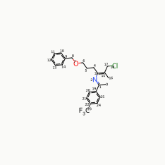 C/C(=N\C(CCCOCc1ccccc1)=C(/C)CCl)c1ccc(C(F)(F)F)cc1